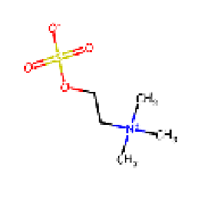 C[N+](C)(C)CCOS(=O)(=O)[O-]